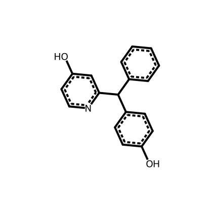 Oc1ccc(C(c2ccccc2)c2cc(O)ccn2)cc1